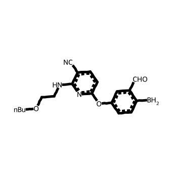 Bc1ccc(Oc2ccc(C#N)c(NCCOCCCC)n2)cc1C=O